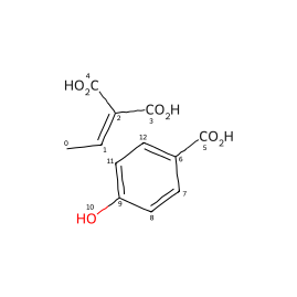 CC=C(C(=O)O)C(=O)O.O=C(O)c1ccc(O)cc1